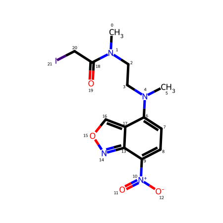 CN(CCN(C)c1ccc([N+](=O)[O-])c2nocc12)C(=O)CI